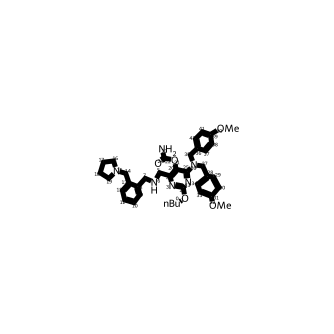 CCCCOc1nc(CNCc2ccccc2CN2CCCC2)c(OC(N)=O)c(N(Cc2ccc(OC)cc2)Cc2ccc(OC)cc2)n1